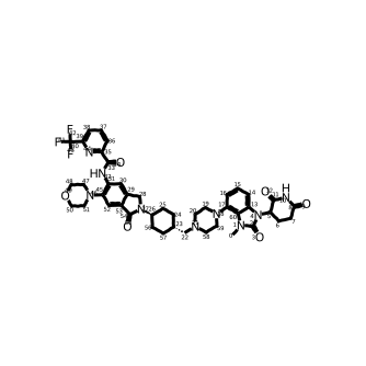 Cn1c(=O)n(C2CCC(=O)NC2=O)c2cccc(N3CCN(C[C@H]4CC[C@H](N5Cc6cc(NC(=O)c7cccc(C(F)(F)F)n7)c(N7CCOCC7)cc6C5=O)CC4)CC3)c21